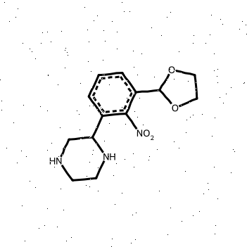 O=[N+]([O-])c1c(C2CNCCN2)cccc1C1OCCO1